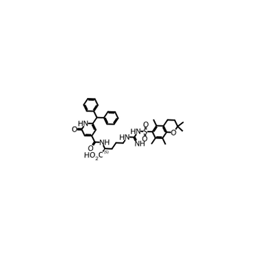 Cc1c(C)c(S(=O)(=O)NC(=N)NCCC[C@H](NC(=O)c2cc(C(c3ccccc3)c3ccccc3)[nH]c(=O)c2)C(=O)O)c(C)c2c1OC(C)(C)CC2